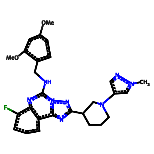 COc1ccc(CNc2nc3c(F)cccc3c3nc(C4CCCN(c5cnn(C)c5)C4)nn23)c(OC)c1